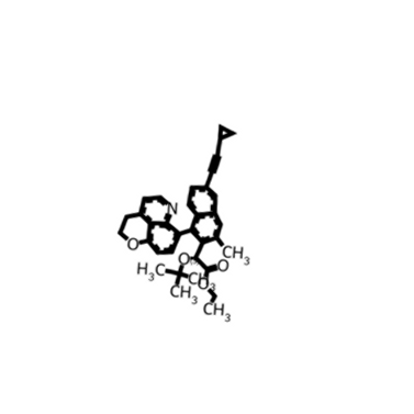 CCOC(=O)[C@@H](OC(C)(C)C)c1c(C)cc2cc(C#CC3CC3)ccc2c1-c1ccc2c3c(ccnc13)CCO2